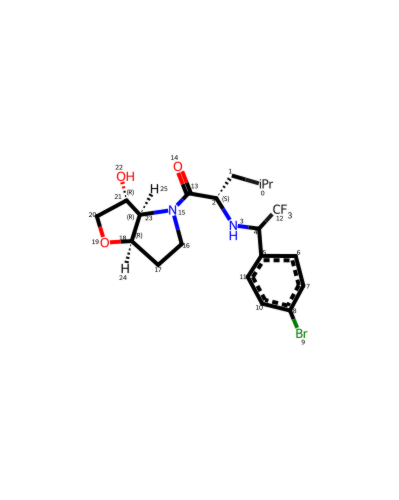 CC(C)C[C@H](NC(c1ccc(Br)cc1)C(F)(F)F)C(=O)N1CC[C@H]2OC[C@H](O)[C@H]21